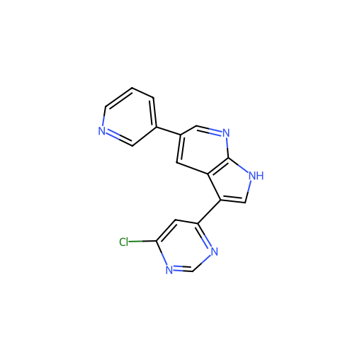 Clc1cc(-c2c[nH]c3ncc(-c4cccnc4)cc23)ncn1